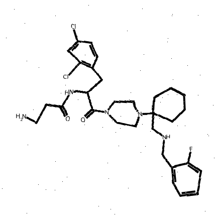 NCCC(=O)NC(Cc1ccc(Cl)cc1Cl)C(=O)N1CCN(C2(CNCc3ccccc3F)CCCCC2)CC1